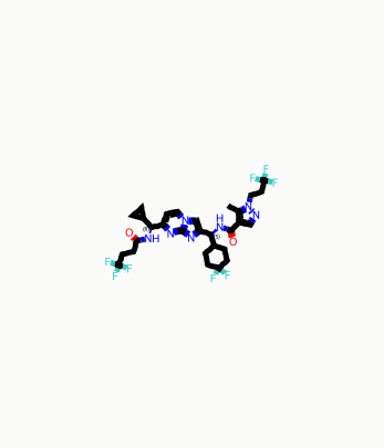 Cc1c(C(=O)N[C@H](c2cn3ccc([C@H](NC(=O)CCC(F)(F)F)C4CC4)nc3n2)C2CCC(F)(F)CC2)cnn1CCC(F)(F)F